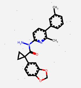 Cc1cccc(-c2ccc(N(N)C(=O)C3(c4ccc5c(c4)OCO5)CC3)nc2C)c1